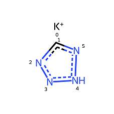 [K+].c1nn[nH]n1